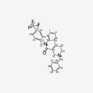 O=c1c2c(c3ccccc3n1Cc1ccc(C(F)(F)F)cc1)CCN(Cc1ccccc1)C2